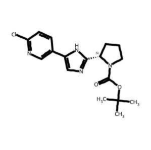 CC(C)(C)OC(=O)N1CCC[C@H]1c1ncc(-c2ccc(Cl)nc2)[nH]1